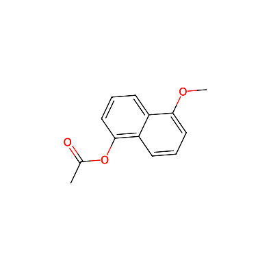 COc1cccc2c(OC(C)=O)cccc12